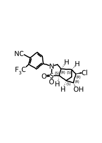 N#Cc1ccc(N2C[C@H]3[C@@H]4C[C@@H]([C@@H](O)[C@@H]4Cl)[C@H]3S2(=O)=O)cc1C(F)(F)F